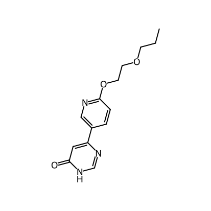 CCCOCCOc1ccc(-c2cc(=O)[nH]cn2)cn1